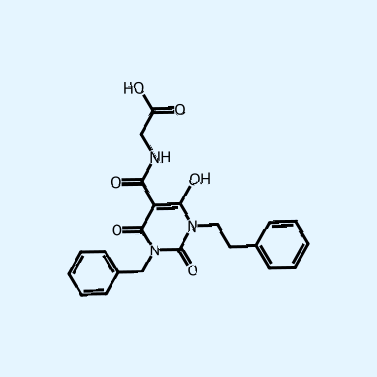 O=C(O)CNC(=O)c1c(O)n(CCc2ccccc2)c(=O)n(Cc2ccccc2)c1=O